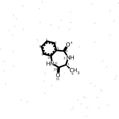 C[C@@H]1NC(=O)c2ccccc2NC1=O